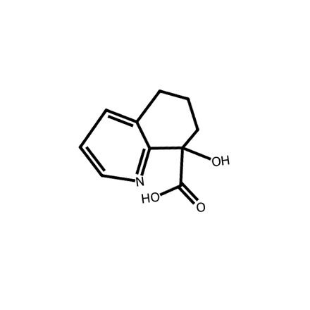 O=C(O)C1(O)CCCc2cccnc21